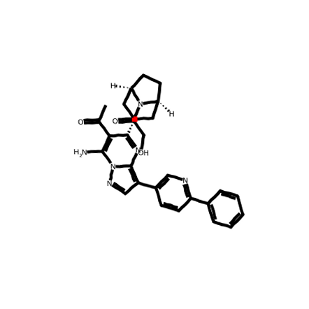 CC(=O)c1c([C@@H]2C[C@H]3CC[C@@H](C2)N3C(=O)CO)nc2c(-c3ccc(-c4ccccc4)nc3)cnn2c1N